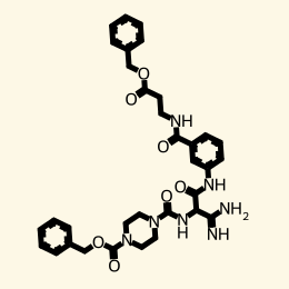 N=C(N)C(NC(=O)N1CCN(C(=O)OCc2ccccc2)CC1)C(=O)Nc1cccc(C(=O)NCCC(=O)OCc2ccccc2)c1